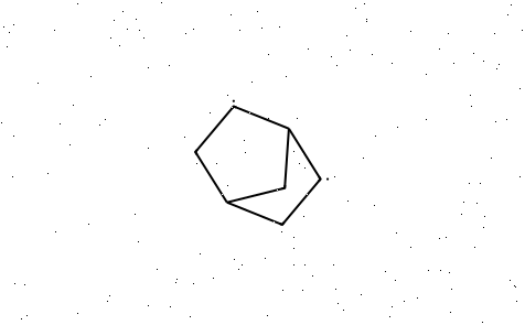 [CH]1CC2C[CH]C1C2